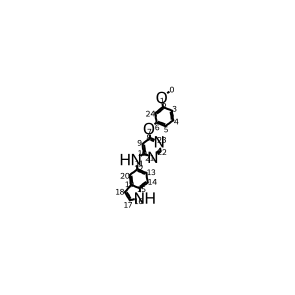 COc1cccc(Oc2cc(Nc3ccc4[nH]ccc4c3)ncn2)c1